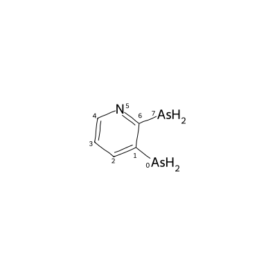 [AsH2]c1cccnc1[AsH2]